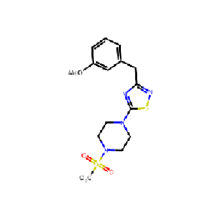 COc1cccc(Cc2nsc(N3CCN(S(=O)(=O)C(Cl)(Cl)Cl)CC3)n2)c1